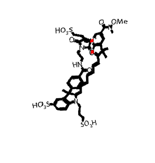 CON(C)C(=O)c1cc2c([n+](CCCS(=O)(=O)O)c1)N=C(/C=C/C=C/C=C/C=C1/N(CCCS(=O)(=O)O)c3ccc(S(=O)(=O)O)cc3C1(C)c1ccc(C(=O)NCCN3C(=O)C=CC3=O)cc1)C2(C)C